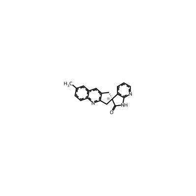 Cc1ccc2nc3c(cc2c1)C[C@@]1(C3)C(=O)Nc2ncccc21